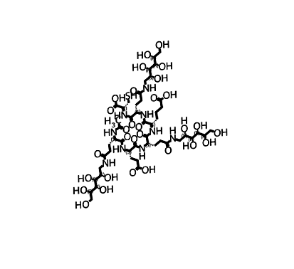 CC(=O)N[C@@H](CCC(=O)NC[C@H](O)[C@@H](O)[C@H](O)[C@H](O)CO)C(=O)N[C@@H](CCC(=O)O)C(=O)N[C@@H](CCC(=O)NC[C@H](O)[C@@H](O)[C@H](O)[C@H](O)CO)C(=O)N[C@@H](CCCC(=O)O)C(=O)N[C@@H](CCC(=O)NC[C@H](O)[C@@H](O)[C@H](O)[C@H](O)CO)C(=O)N[C@@H](CS)C(=O)O